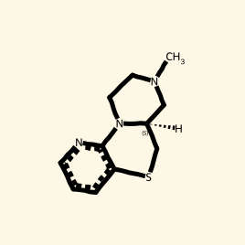 CN1CCN2c3ncccc3SC[C@@H]2C1